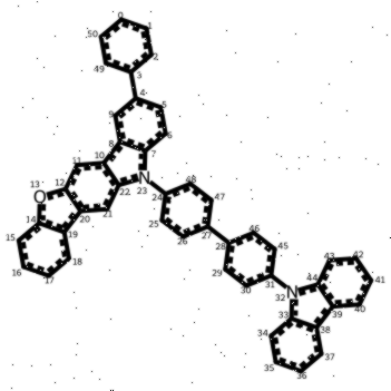 c1ccc(-c2ccc3c(c2)c2cc4oc5ccccc5c4cc2n3-c2ccc(-c3ccc(-n4c5ccccc5c5ccccc54)cc3)cc2)cc1